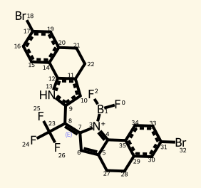 FB(F)[N+]1=C2C(=C/C1=C(/c1cc3c([nH]1)-c1ccc(Br)cc1CC3)C(F)(F)F)CCc1cc(Br)ccc12